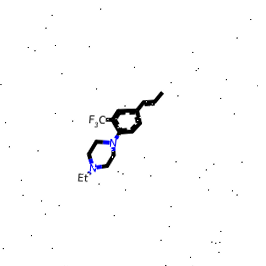 [CH2]CN1CCN(c2ccc(/C=C/C)cc2C(F)(F)F)CC1